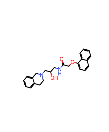 O=C(COc1cccc2ccccc12)NCC(O)CN1CCc2ccccc2C1